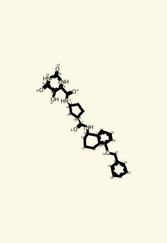 O=C(N[C@H]1CC[C@@H](C(=O)NC2CCCc3c(OCc4ccccc4)cccc32)C1)c1[nH]c(=O)[nH]c(=O)c1O